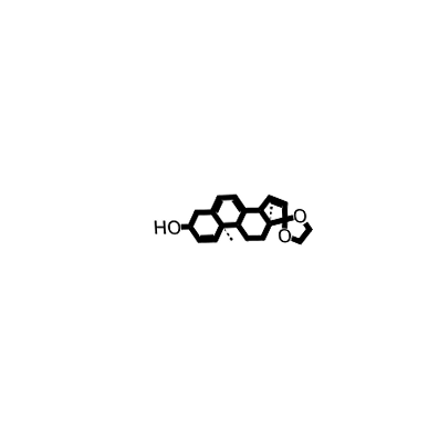 C[C@]12C=CC(O)CC1=CC=C1C2CC[C@@]2(C)C1C=CC21OCCO1